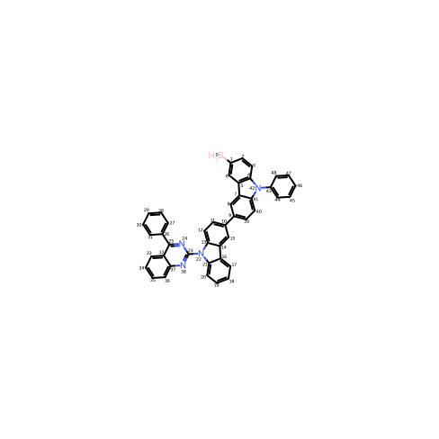 Bc1ccc2c(c1)c1cc(-c3ccc4c(c3)c3ccccc3n4-c3nc(-c4ccccc4)c4ccccc4n3)ccc1n2-c1ccccc1